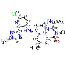 CC(=O)c1ncn2c3c(C(C)Nc4ccc(Cl)nc4-c4ncn(C)n4)cc(C)cc3c(=O)n(C)c12